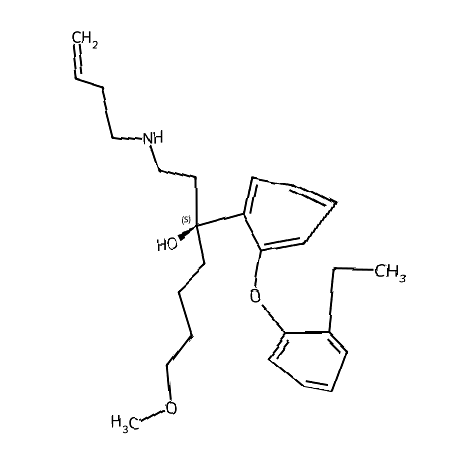 C=CCCNCC[C@@](O)(CCCCOC)c1ccccc1Oc1ccccc1CC